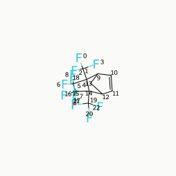 FC(F)(F)C1(C(F)(F)F)C2C=CC(C2)C1(C(F)(F)F)C(F)(F)F